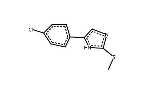 CSc1ncc(-c2ccc(Cl)cc2)[nH]1